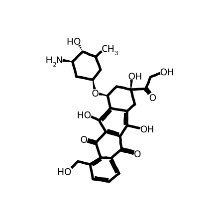 CC1C[C@@H](O[C@H]2C[C@](O)(C(=O)CO)Cc3c(O)c4c(c(O)c32)C(=O)c2c(CO)cccc2C4=O)C[C@@H](N)[C@@H]1O